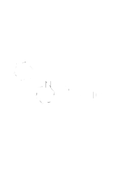 CC(C=O)Oc1cccc(-c2ccccc2)n1